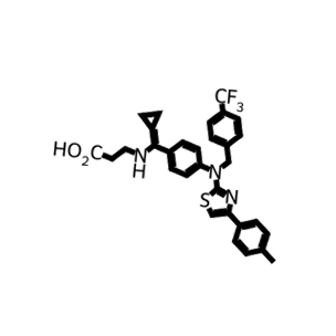 Cc1ccc(-c2csc(N(Cc3ccc(C(F)(F)F)cc3)c3ccc(C(NCCC(=O)O)=C4CC4)cc3)n2)cc1